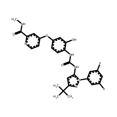 CNC(=O)c1cc(Oc2ccc(NC(=O)Nc3cc(C(C)(C)C)nn3-c3cc(F)cc(F)c3)c(O)c2)ccn1